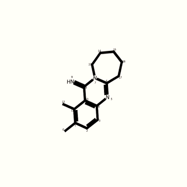 Cc1ccc2nc3n(c(=N)c2c1C)CCCCC3